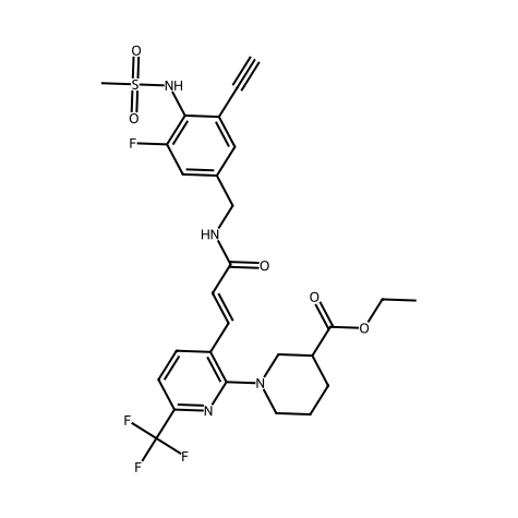 C#Cc1cc(CNC(=O)C=Cc2ccc(C(F)(F)F)nc2N2CCCC(C(=O)OCC)C2)cc(F)c1NS(C)(=O)=O